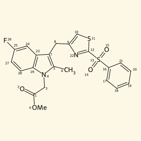 COC(=O)Cn1c(C)c(Cc2csc(S(=O)(=O)c3ccccc3)n2)c2cc(F)ccc21